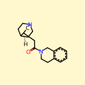 O=C(C[C@@H]1CN2CCC1CC2)N1CCc2ccccc2C1